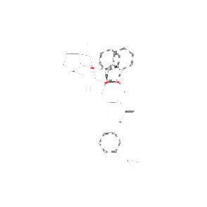 COc1cccc(C(C)(C)C(=O)N2CCC(CCN3[C@@H]4CC[C@H]3CC(n3c(C)nc5ccccc53)C4)(c3ccccc3)CC2)c1